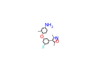 Cc1cc(N)ccc1Oc1cc(F)cc(-c2c(C)noc2C)c1